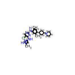 Cc1cc(Nc2nc(Nc3cc(C)c([C@H]4CC[C@@H](N5CCCCC5)CC4)cc3C)ncc2Cl)n[nH]1